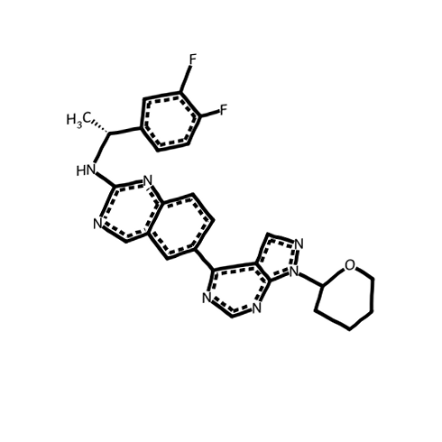 C[C@@H](Nc1ncc2cc(-c3ncnc4c3cnn4C3CCCCO3)ccc2n1)c1ccc(F)c(F)c1